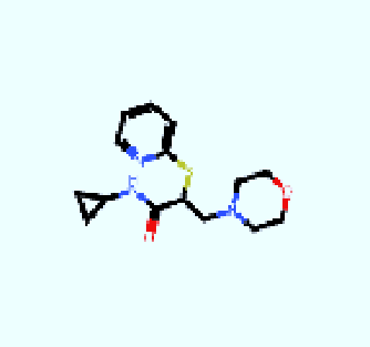 O=C(NC1CC1)C(CN1CCOCC1)Sc1ccccn1